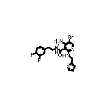 Nc1c(Br)cnc(NCc2cccs2)c1C(=O)NCCc1ccc(F)c(F)c1